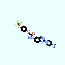 CN(C)C1CCN(c2ncc3cc(NC(=O)COc4ccc(OC(F)(F)F)cc4)ccc3n2)CC1